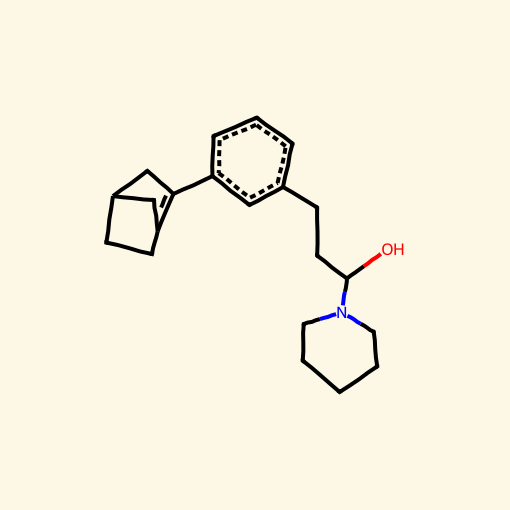 OC(CCc1cccc(C2=C3CCC(C3)C2)c1)N1CCCCC1